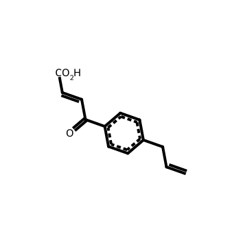 C=CCc1ccc(C(=O)C=CC(=O)O)cc1